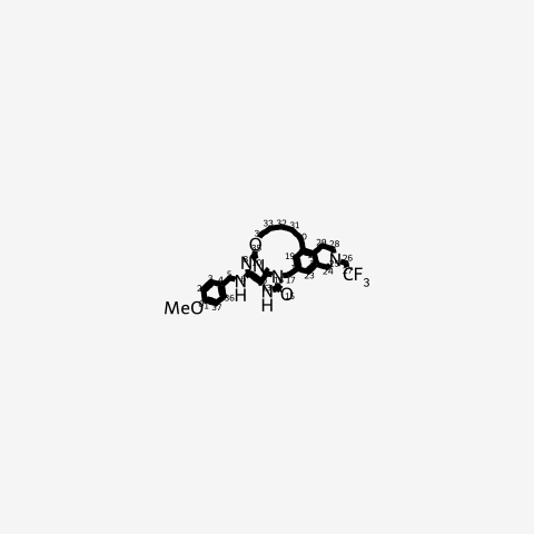 COc1ccc(CNc2nc3nc4c2[nH]c(=O)n4Cc2cc(c4c(c2)CN(CC(F)(F)F)CC4)CCCCCO3)cc1